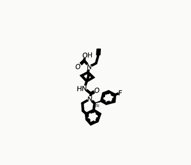 C#CCN(C(=O)O)C12CC(NC(=O)N3CCc4ccccc4[C@@H]3c3ccc(F)cc3)(C1)C2